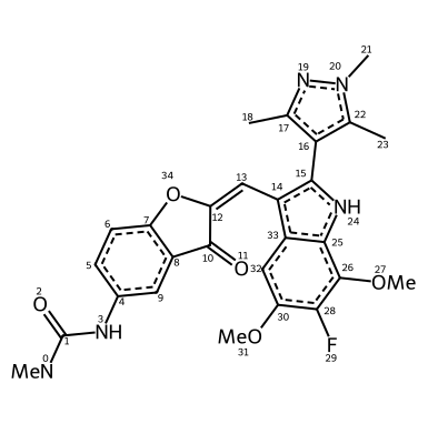 CNC(=O)Nc1ccc2c(c1)C(=O)C(=Cc1c(-c3c(C)nn(C)c3C)[nH]c3c(OC)c(F)c(OC)cc13)O2